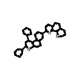 c1ccc(-c2cc(-c3ccccc3)c3c(ccc4cc(-c5ccc6ccc7cccnc7c6n5)ccc43)n2)cc1